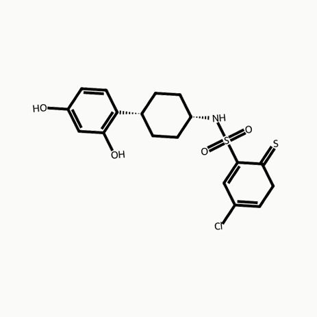 O=S(=O)(N[C@H]1CC[C@@H](c2ccc(O)cc2O)CC1)C1=CC(Cl)=CCC1=S